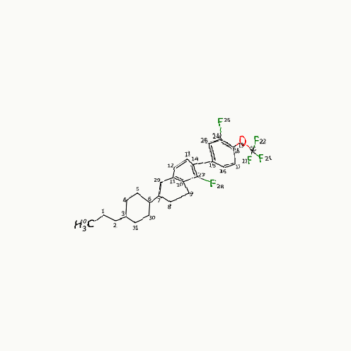 CCCC1CCC(C2CCc3c(ccc(-c4ccc(OC(F)(F)F)c(F)c4)c3F)C2)CC1